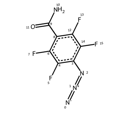 [N-]=[N+]=Nc1c(F)c(F)c(C(N)=O)c(F)c1F